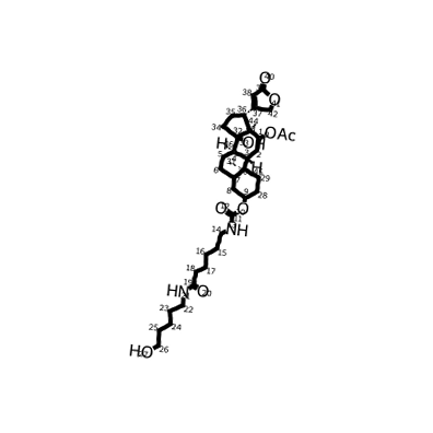 CC(=O)OC1C[C@H]2[C@@H](CCC3CC(OC(=O)NCCCCCC(=O)NCCCCCO)CC[C@@]32C)C2(O)CC[C@H](C3=CC(=O)OC3)[C@@]12C